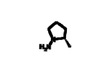 C[C@H]1CCCN1N